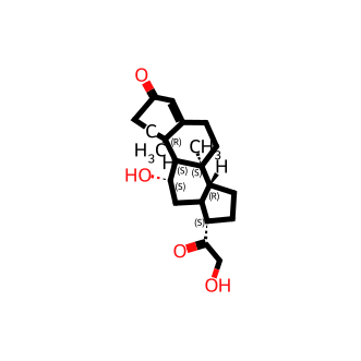 C[C@@]12CCC3=CC(=O)CC[C@]3(C)[C@H]1[C@@H](O)CC1[C@@H](C(=O)CO)CC[C@H]12